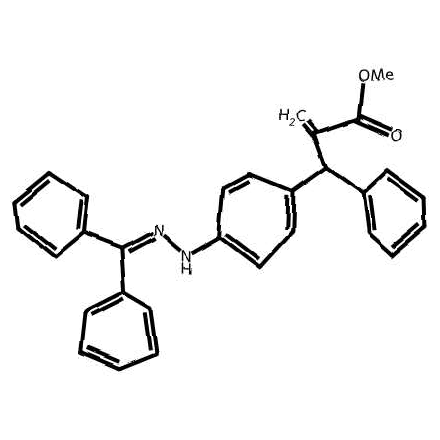 C=C(C(=O)OC)C(c1ccccc1)c1ccc(NN=C(c2ccccc2)c2ccccc2)cc1